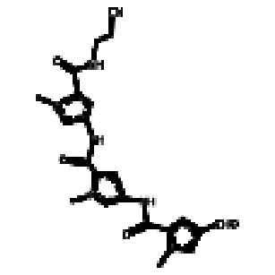 Cn1cc(NC(=O)c2cc(NC(=O)c3cc(C=O)cn3C)cn2C)cc1C(=O)NCCC#N